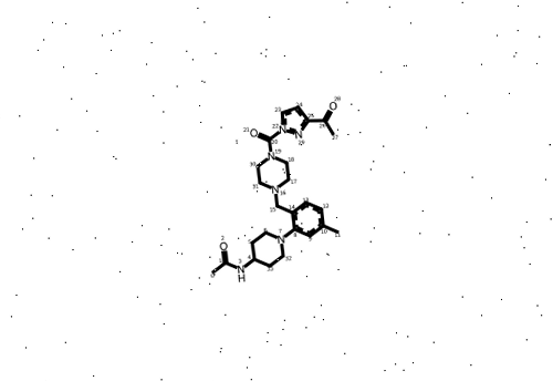 CC(=O)NC1CCN(c2cc(C)ccc2CN2CCN(C(=O)n3ccc(C(C)=O)n3)CC2)CC1